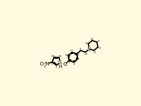 O=[N+]([O-])C1=C[SH](Oc2ccc(CCN3CCCCC3)cc2)C=C1